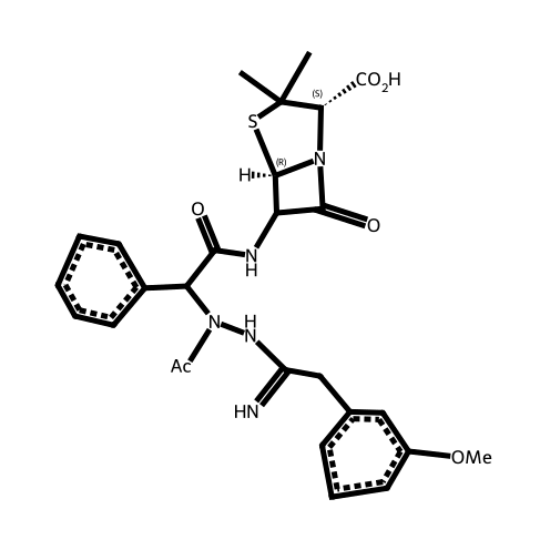 COc1cccc(CC(=N)NN(C(C)=O)C(C(=O)NC2C(=O)N3[C@@H]2SC(C)(C)[C@@H]3C(=O)O)c2ccccc2)c1